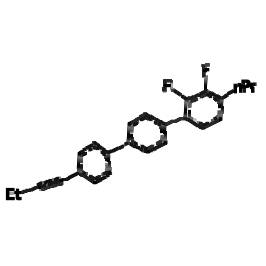 CCC#Cc1ccc(-c2ccc(-c3ccc(CCC)c(F)c3F)cc2)cc1